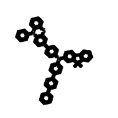 CC1(C)c2ccccc2-c2ccc(N(c3ccc(-c4ccc(-c5ccccc5)cc4)cc3)c3ccc(-c4ccc5c(c4)Sc4ccccc4N5c4ccccc4)cc3)cc21